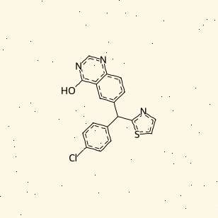 Oc1ncnc2ccc(C(c3ccc(Cl)cc3)c3nccs3)cc12